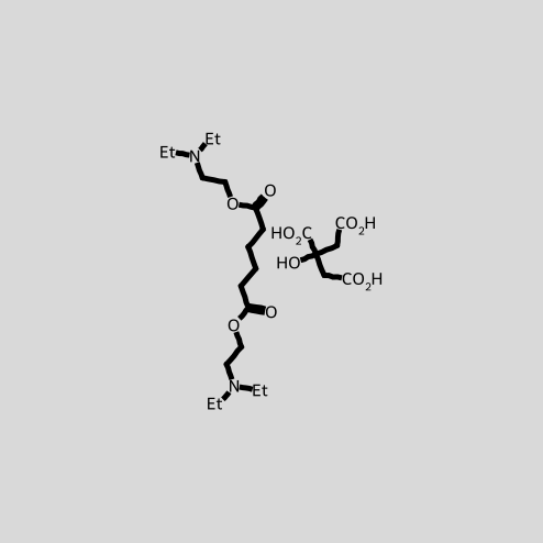 CCN(CC)CCOC(=O)CCCCC(=O)OCCN(CC)CC.O=C(O)CC(O)(CC(=O)O)C(=O)O